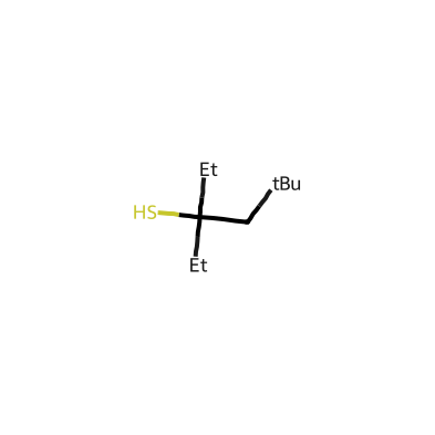 CCC(S)(CC)CC(C)(C)C